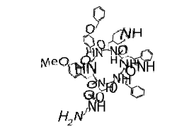 COc1ccc(C[C@@H]2NC(=O)[C@H](Cc3ccc(OCc4ccccc4)cc3)NC(=O)[C@H](CC3CCNCC3)NC(=O)[C@@H](Cc3c[nH]c4ccccc34)NC(=O)[C@@H](CCc3ccccc3)NC(=O)[C@@H]3C[C@@H](OC(=O)NCCN)CN3C2=O)cc1